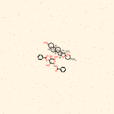 C[C@H]1CC[C@@]2(OC1)O[C@H]1C[C@H]3[C@@H]4CC[C@@H]5C[C@@H](O)CC[C@]5(C)[C@H]4CC[C@]3(C)[C@H]1[C@@H]2C.O=C(OC[C@H]1O[C@@H](O)[C@H](O)[C@@H](OC(=O)c2ccccc2)[C@@H]1O)c1ccccc1